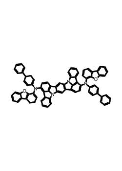 C1=CC(c2ccccc2)CC=C1N(C1=CCCc2c1oc1ccccc21)c1ccc2c3cc4c(cc3n3c5ccccc5c1c23)c1ccc(N(c2ccc(-c3ccccc3)cc2)c2cccc3c2oc2ccccc23)c2c3ccccc3n4c12